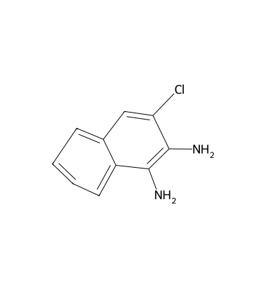 Nc1c(Cl)cc2ccccc2c1N